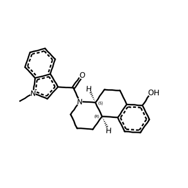 Cn1cc(C(=O)N2CCC[C@@H]3c4cccc(O)c4CC[C@@H]32)c2ccccc21